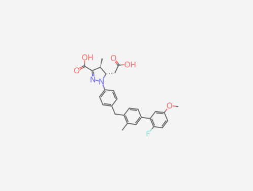 COc1ccc(F)c(-c2ccc(Cc3ccc(N4N=C(C(=O)O)[C@@H](C)[C@@H]4CC(=O)O)cc3)c(C)c2)c1